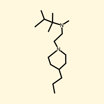 CCCC1CCN(CCN(C)C(C)(C)C(C)C)CC1